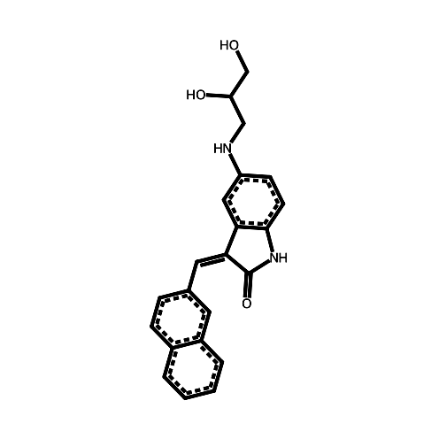 O=C1Nc2ccc(NCC(O)CO)cc2C1=Cc1ccc2ccccc2c1